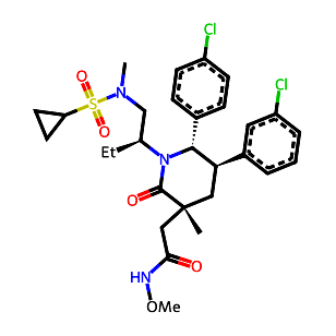 CC[C@@H](CN(C)S(=O)(=O)C1CC1)N1C(=O)[C@@](C)(CC(=O)NOC)C[C@H](c2cccc(Cl)c2)[C@H]1c1ccc(Cl)cc1